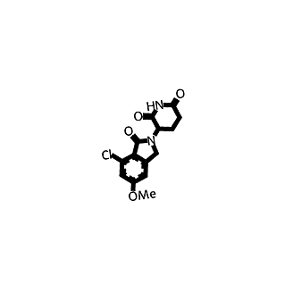 COc1cc(Cl)c2c(c1)CN(C1CCC(=O)NC1=O)C2=O